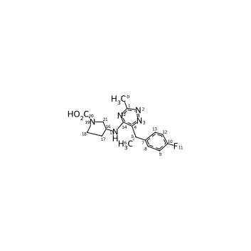 Cc1nnc([C@@H](C)c2ccc(F)cc2)c(NC2CCN(C(=O)O)C2)n1